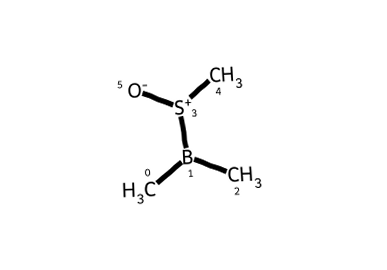 CB(C)[S+](C)[O-]